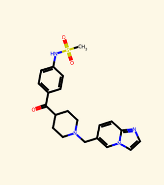 CS(=O)(=O)Nc1ccc(C(=O)C2CCN(Cc3ccc4nccn4c3)CC2)cc1